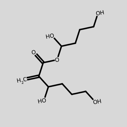 C=C(C(=O)OC(O)CCCO)C(O)CCCO